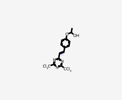 CC(O)Oc1ccc(/C=C/c2nc(C(Cl)(Cl)Cl)nc(C(Cl)(Cl)Cl)n2)cc1